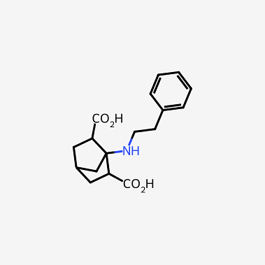 O=C(O)C1CC2CC(C(=O)O)C1(NCCc1ccccc1)C2